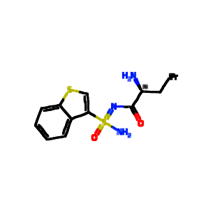 CC(C)C[C@H](N)C(=O)N=S(N)(=O)c1csc2ccccc12